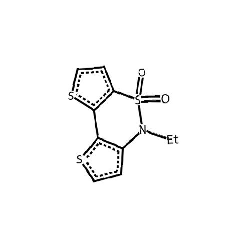 CCN1c2ccsc2-c2sccc2S1(=O)=O